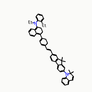 CCc1ccccc1N(CC)C1=c2ccccc2=C(C2=CC=C(/C=C/c3ccc4c(c3)C(C)(C)c3cc(N5c6ccccc6C=CC5(C)C)ccc3-4)CC2)CC1